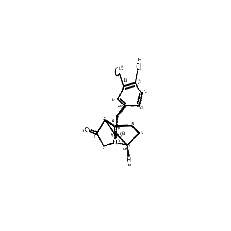 O=C1CN2C3CC[C@H]2C[C@H](c2ccc(Cl)c(Cl)c2)C13